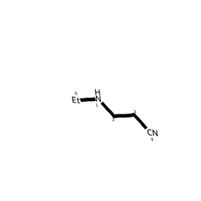 CCNCCC#N